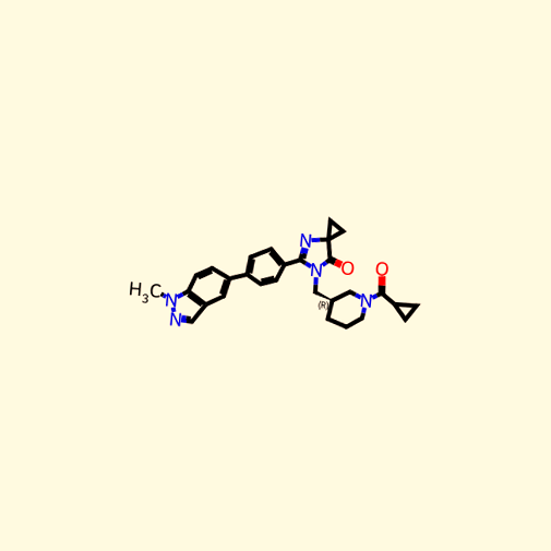 Cn1ncc2cc(-c3ccc(C4=NC5(CC5)C(=O)N4C[C@@H]4CCCN(C(=O)C5CC5)C4)cc3)ccc21